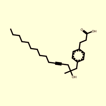 CCCCCCCCCCC#CCC(C)(O)Cc1ccc(CCC(=O)O)cc1